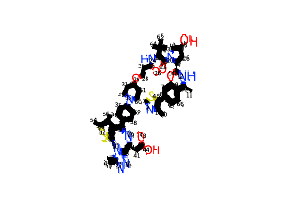 Cc1ncsc1-c1ccc([C@H](C)NC(=O)[C@@H]2C[C@@H](O)CN2C(=O)[C@@H](NC(=O)CCOC2CCN(c3ccc(C4=N[C@@H](CC(=O)O)c5nnc(C)n5-c5sc(C)c(C)c54)cc3)CC2)C(C)(C)C)cc1